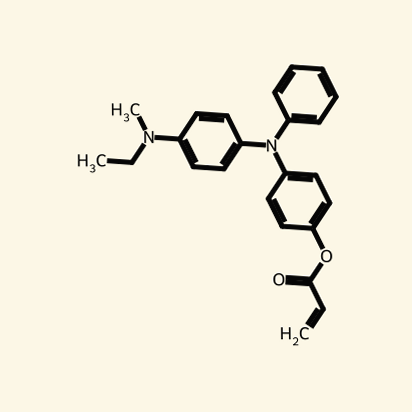 C=CC(=O)Oc1ccc(N(c2ccccc2)c2ccc(N(C)CC)cc2)cc1